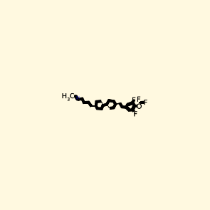 C/C=C/CCCC[C@H]1CC[C@H]([C@H]2CC[C@H](CCc3cc(F)c(OC(F)F)c(F)c3)CC2)CC1